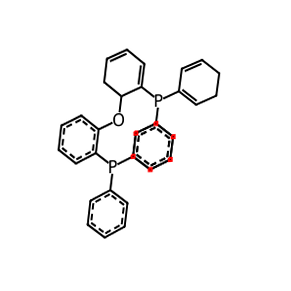 C1=CCC(Oc2ccccc2P(c2ccccc2)c2ccccc2)C(P(C2=CCCC=C2)c2ccccc2)=C1